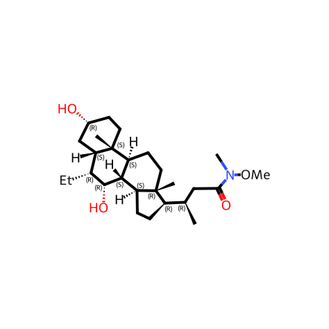 CC[C@H]1[C@@H](O)[C@@H]2[C@H](CC[C@]3(C)[C@@H]([C@H](C)CC(=O)N(C)OC)CC[C@@H]23)[C@@]2(C)CC[C@@H](O)C[C@@H]12